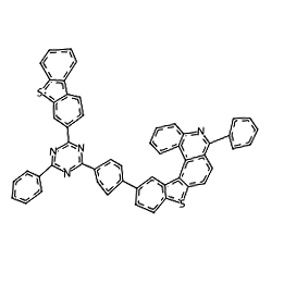 c1ccc(-c2nc(-c3ccc(-c4ccc5sc6ccc7c(-c8ccccc8)nc8ccccc8c7c6c5c4)cc3)nc(-c3ccc4c(c3)sc3ccccc34)n2)cc1